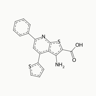 Nc1c(C(=O)O)sc2nc(-c3ccccc3)cc(-c3cccs3)c12